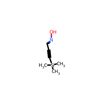 C[Si](C)(C)C#C/C=N/O